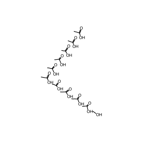 CC(=O)O.CC(=O)O.CC(=O)O.CC(=O)O.CC(=O)O.CC(=O)O.CC(=O)O.CC(=O)O.CC(=O)O.CC(=O)O.CO